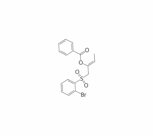 CC=C(CS(=O)(=O)c1ccccc1Br)OC(=O)c1ccccc1